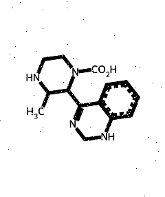 CC1NCCN(C(=O)O)C1C1=NCNc2ccccc21